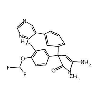 Cc1cc(C2(c3cccc(-c4cncnc4)c3)C=C(N)N(C)C2=O)ccc1OC(F)F